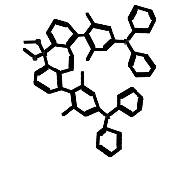 CO[Si]1(OC)c2cccc(-c3c(C)cc(N(c4ccccc4)c4ccccc4)cc3C)c2C=Cc2c(-c3c(C)cc(N(c4ccccc4)c4ccccc4)cc3C)cccc21